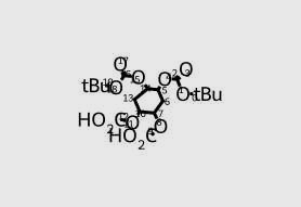 CC(C)(C)OC(=O)OC1CC(OC(=O)O)C(OC(=O)O)CC1OC(=O)OC(C)(C)C